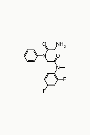 CN(C(=O)CN(C(=O)CN)c1ccccc1)c1ccc(F)cc1F